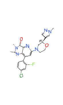 Cc1nc2c(-c3ccc(Cl)cc3F)cc(N3CCO[C@H](c4cnn(C)c4)C3)nc2c(=O)n1C